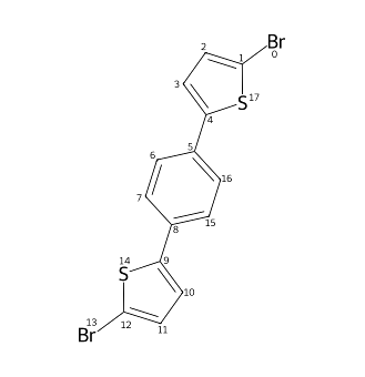 Brc1ccc(-c2ccc(-c3ccc(Br)s3)cc2)s1